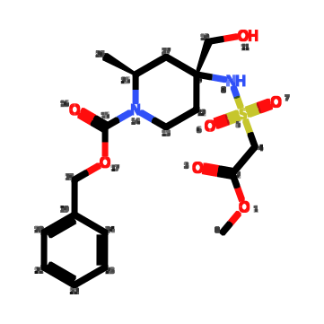 COC(=O)CS(=O)(=O)N[C@]1(CO)CCN(C(=O)OCc2ccccc2)[C@@H](C)C1